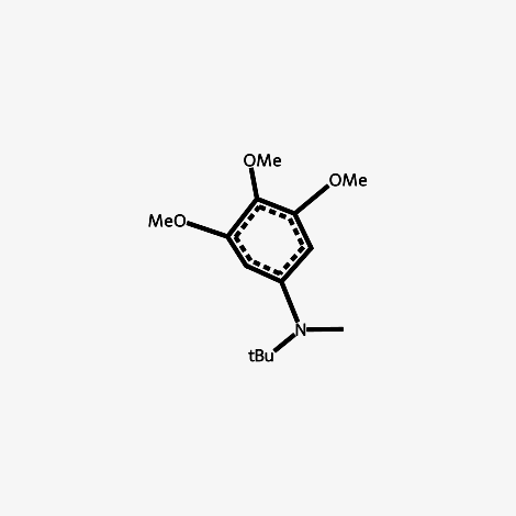 COc1cc(N(C)C(C)(C)C)cc(OC)c1OC